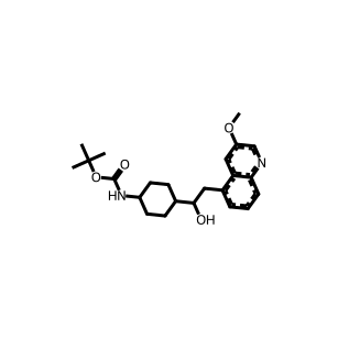 COc1cnc2cccc(CC(O)C3CCC(NC(=O)OC(C)(C)C)CC3)c2c1